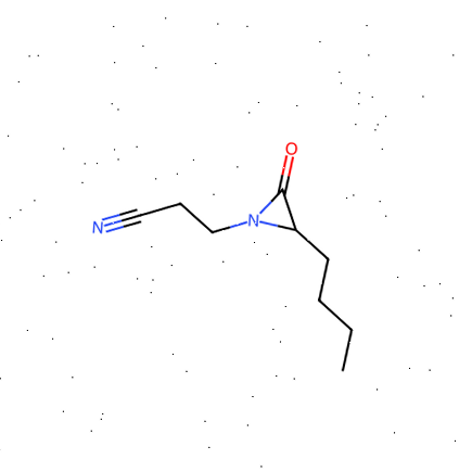 CCCCC1C(=O)N1CCC#N